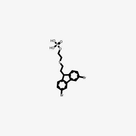 O=P(O)(O)OCCSCCC1c2ccc(Br)cc2-c2cc(Br)ccc21